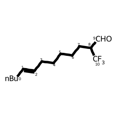 CCCCC=CCCCCCC(C=O)C(F)(F)F